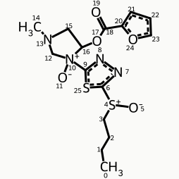 CCCC[S+]([O-])c1nnc([N+]2([O-])CN(C)CC2OC(=O)c2ccco2)s1